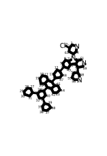 Clc1cncc(-n2c3ccc(-c4ccc(-c5c6ccccc6c(-c6cc(-c7ccccc7)cc(-c7ccccc7)c6)c6ccccc56)cc4)cc3c3c(-c4cccnc4)cncc32)c1